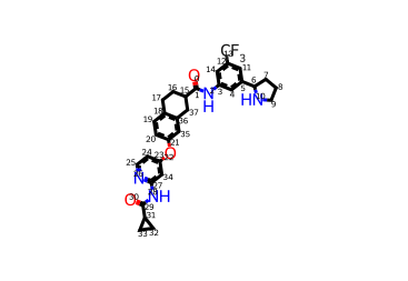 O=C(Nc1cc(C2CCCN2)cc(C(F)(F)F)c1)C1CCc2ccc(Oc3ccnc(NC(=O)C4CC4)c3)cc2C1